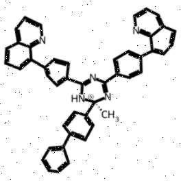 C[C@@]1(c2ccc(-c3ccccc3)cc2)N=C(c2ccc(-c3cccc4cccnc34)cc2)N=C(c2ccc(-c3cccc4cccnc34)cc2)N1